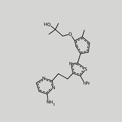 CCCc1sc(-c2ccc(C)c(OCC(C)(C)O)c2)nc1CCc1nccc(N)n1